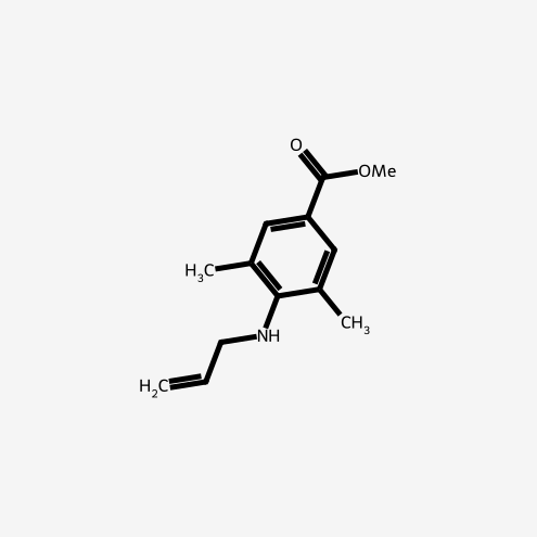 C=CCNc1c(C)cc(C(=O)OC)cc1C